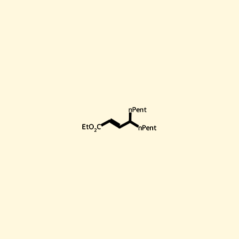 CCCCCC(/C=C/C(=O)OCC)CCCCC